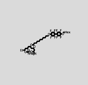 CCCCCCCC1OC(CC)CC(CC2CC(CC(C)O)OC(CCCCCCCCCCOc3c(F)c(F)c(-c4c(F)c(F)c(OCCCCCC)c(F)c4F)c(F)c3F)O2)O1